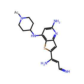 CC(=O)N1CCC(Nc2cc(N)nc3cc(/C(N)=C/C=N)sc23)CC1